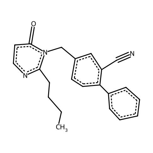 CCCCc1nccc(=O)n1Cc1ccc(-c2ccccc2)c(C#N)c1